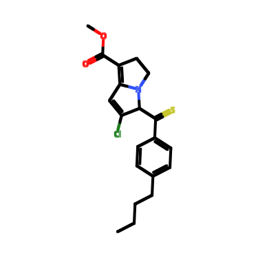 CCCCc1ccc(C(=S)C2C(Cl)=CC3=C(C(=O)OC)CCN32)cc1